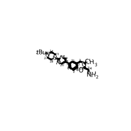 CN(Cc1cccc(-c2cnc(N3CCN(C(C)(C)C)CC3)nc2)c1)C(=O)CN